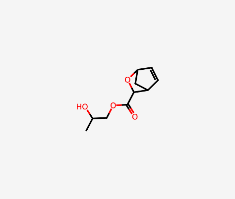 CC(O)COC(=O)C1OC2C=CC1C2